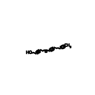 CN1CCN(CCCCN2CCN(CCOCCCN3CCN(CCCO)CC3)CC2)CC1